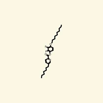 CCCCCCCCCCOc1ccc(OC(=O)c2ccc(CCCCCCC)cn2)c(F)c1F